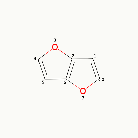 [c]1cc2o[c]cc2o1